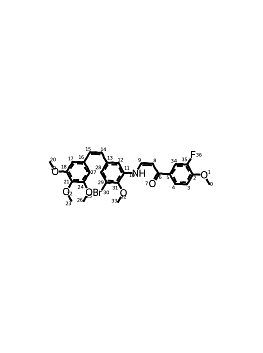 COc1ccc(C(=O)/C=C\Nc2cc(/C=C\c3cc(OC)c(OC)c(OC)c3)cc(Br)c2OC)cc1F